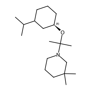 CC(C)C1CCC[C@@H](OC(C)(C)N2CCCC(C)(C)C2)C1